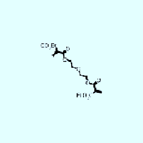 C=C(C(=O)OCC)C(=O)OCCOCCOC(=O)C(=C)C(=O)OCC